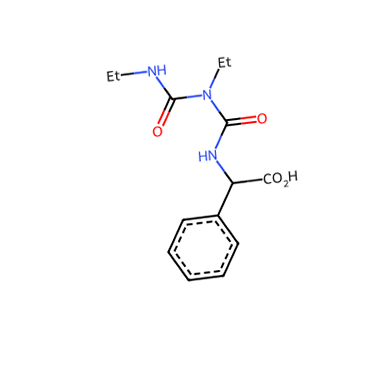 CCNC(=O)N(CC)C(=O)NC(C(=O)O)c1ccccc1